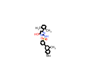 Cc1cccc(C)c1-c1cc(O)nc(NS(=O)(=O)c2cccc(C3Cc4cc(C(C)(C)C)ccc4C(C)C3)c2)n1